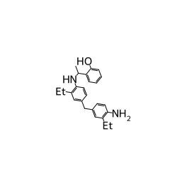 CCc1cc(Cc2ccc(NC(C)c3ccccc3O)c(CC)c2)ccc1N